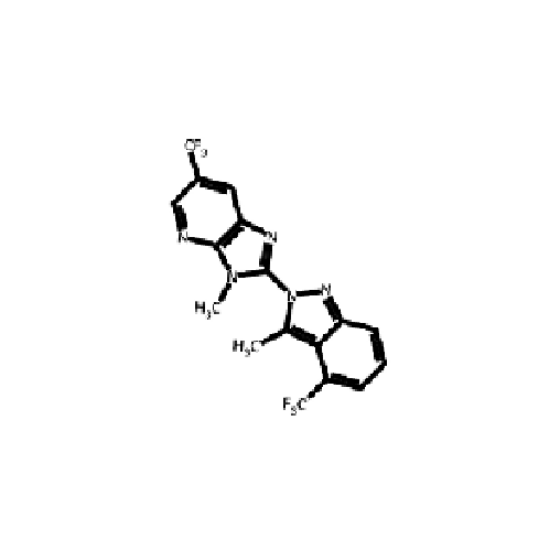 Cc1c2c(C(F)(F)F)cccc2nn1-c1nc2cc(C(F)(F)F)cnc2n1C